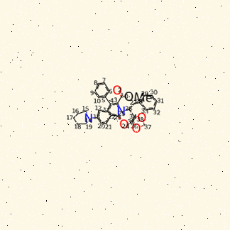 COC(=O)c1c(-c2ccccc2)c2cc(N3CCCCC3)ccc2c(=O)n1C(Cc1ccccc1)C1=COCO1